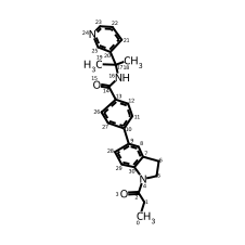 CCC(=O)N1CCc2cc(-c3ccc(C(=O)NC(C)(C)c4cccnc4)cc3)ccc21